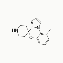 Cc1cccc2c1-n1cccc1C1(CCNCC1)O2